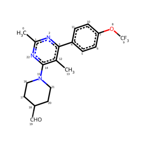 Cc1nc(-c2ccc(OC(F)(F)F)cc2)c(C)c(N2CCC(C=O)CC2)n1